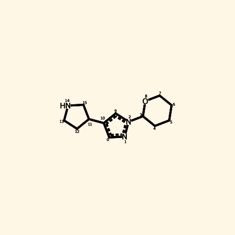 c1nn(C2CCCCO2)cc1C1CCNC1